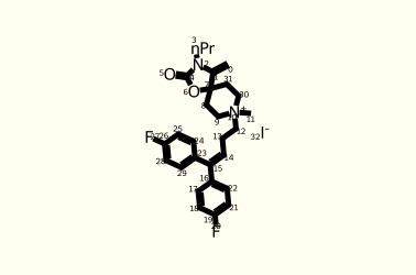 C=C1N(CCC)C(=O)OC12CC[N+](C)(CCC=C(c1ccc(F)cc1)c1ccc(F)cc1)CC2.[I-]